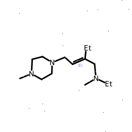 CC/C(=C\CN1CCN(C)CC1)CN(C)CC